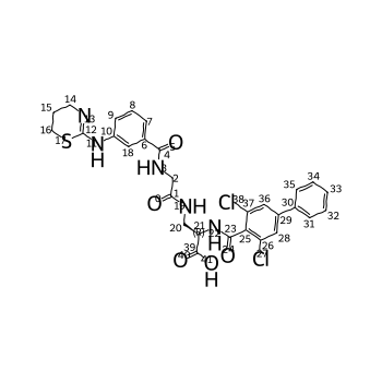 O=C(CNC(=O)c1cccc(NC2=NCCCS2)c1)NC[C@@H](NC(=O)c1c(Cl)cc(-c2ccccc2)cc1Cl)C(=O)O